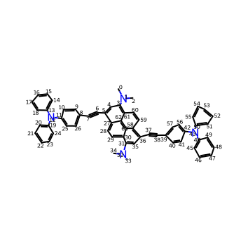 CN(C)c1cc(C#Cc2ccc(N(c3ccccc3)c3ccccc3)cc2)c2ccc3c(N(C)C)cc(C#Cc4ccc(N(c5ccccc5)c5ccccc5)cc4)c4ccc1c2c43